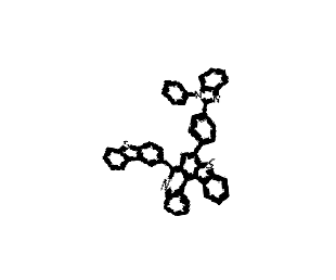 c1ccc(-n2c(-c3ccc(-c4cc5c(-c6ccc7sc8ccccc8c7c6)nc6ccccc6c5c5c4sc4ccccc45)cc3)nc3ccccc32)cc1